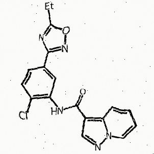 CCc1nc(-c2ccc(Cl)c(NC(=O)c3cnn4ccccc34)c2)no1